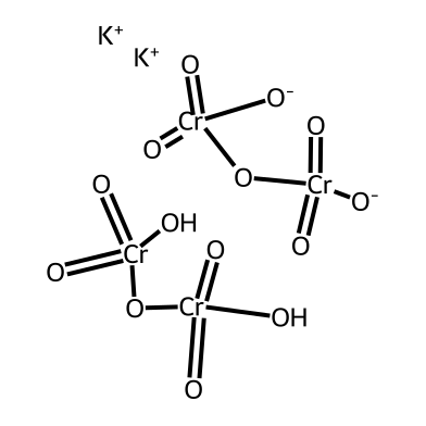 [K+].[K+].[O]=[Cr](=[O])([O-])[O][Cr](=[O])(=[O])[O-].[O]=[Cr](=[O])([OH])[O][Cr](=[O])(=[O])[OH]